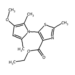 CCOC(=O)c1nc(C)sc1-n1c(C)cc(OC)c1C